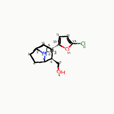 CN1C2CCC1[C@H](CO)[C@@H](c1ccc(Cl)o1)C2